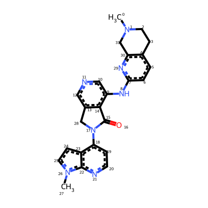 CN1CCc2ccc(Nc3cncc4c3C(=O)N(c3ccnc5c3ccn5C)C4)nc2C1